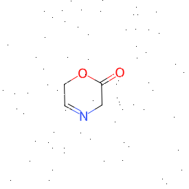 O=C1CN=CCO1